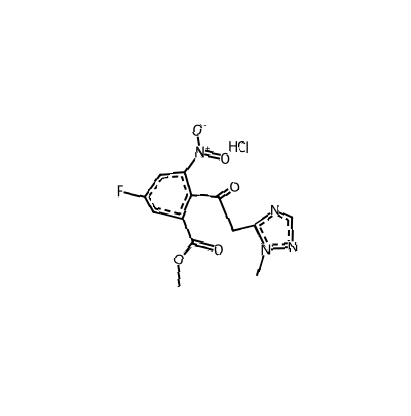 COC(=O)c1cc(F)cc([N+](=O)[O-])c1C(=O)Cc1ncnn1C.Cl